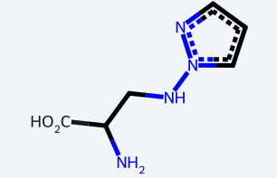 NC(CNn1cccn1)C(=O)O